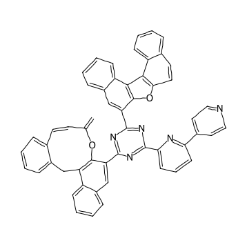 C=C1/C=C\c2ccccc2Cc2c(c(-c3nc(-c4cccc(-c5ccncc5)n4)nc(-c4cc5ccccc5c5c4oc4ccc6ccccc6c45)n3)cc3ccccc23)O1